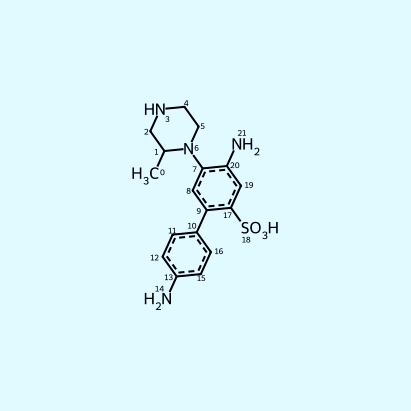 CC1CNCCN1c1cc(-c2ccc(N)cc2)c(S(=O)(=O)O)cc1N